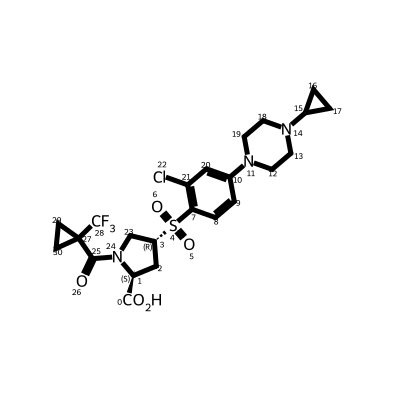 O=C(O)[C@@H]1C[C@@H](S(=O)(=O)c2ccc(N3CCN(C4CC4)CC3)cc2Cl)CN1C(=O)C1(C(F)(F)F)CC1